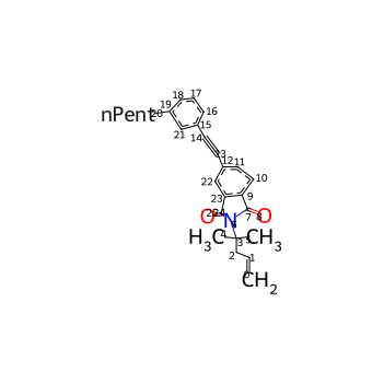 C=CCC(C)(C)N1C(=O)c2ccc(C#Cc3cccc(CCCCC)c3)cc2C1=O